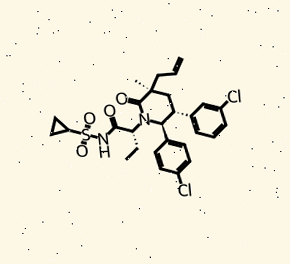 C=CC[C@@]1(C)C[C@H](c2cccc(Cl)c2)[C@@H](c2ccc(Cl)cc2)N([C@H](CC)C(=O)NS(=O)(=O)C2CC2)C1=O